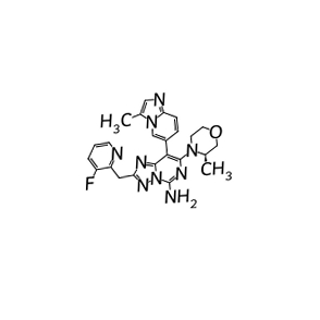 Cc1cnc2ccc(-c3c(N4CCOC[C@H]4C)nc(N)n4nc(Cc5ncccc5F)nc34)cn12